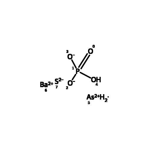 O=P([O-])([O-])O.[AsH2+2].[Ba+2].[S-2]